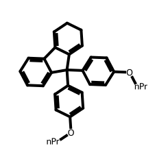 CCCOc1ccc(C2(c3ccc(OCCC)cc3)C3=CCCC=C3c3ccccc32)cc1